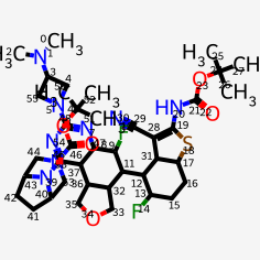 CN(C)C1CN(C2=NC3C(F)C(C4C(F)CCC5SC(NC(=O)OC(C)(C)C)=C(C#N)C54)C4COCC4C3C(N3C4CCC3CN(C(=O)OC(C)(C)C)C4)=N2)C1